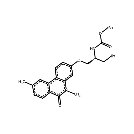 Cc1cc2c(cn1)c(=O)n(C)c1cc(OC[C@H](CC(C)C)NC(=O)OC(C)(C)C)ccc21